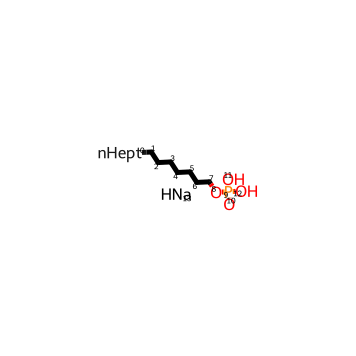 CCCCCCCCCCCCCCOP(=O)(O)O.[NaH]